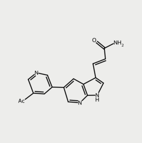 CC(=O)c1cncc(-c2cnc3[nH]cc(C=CC(N)=O)c3c2)c1